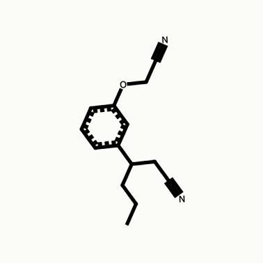 CCCC(CC#N)c1cccc(OCC#N)c1